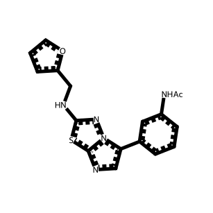 CC(=O)Nc1cccc(-c2cnc3sc(NCc4ccco4)nn23)c1